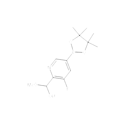 COC(O)c1ncc(B2OC(C)(C)C(C)(C)O2)cc1F